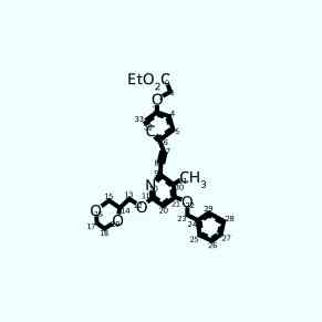 CCOC(=O)COc1ccc(C#Cc2nc(OCC3COCCO3)cc(OCc3ccccc3)c2C)cc1